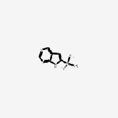 C[N+](C)(C)c1cc2cncnc2[nH]1